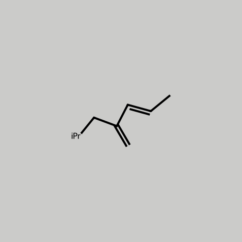 C=C(/C=C/C)CC(C)C